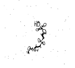 CONCCS(=O)(=O)CCOS(=O)(=O)O